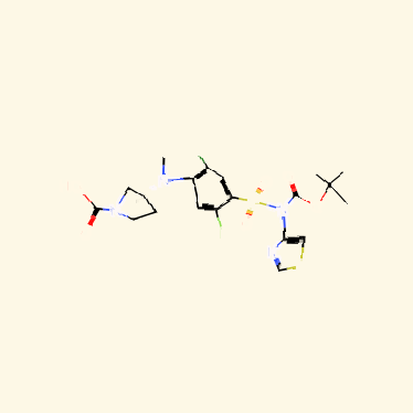 CN(c1cc(F)c(S(=O)(=O)N(C(=O)OC(C)(C)C)c2cscn2)cc1Cl)[C@@H]1CCN(C(=O)O)C1